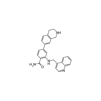 NC(=O)c1ccc(-c2ccc3c(c2)CNCC3)cc1NCc1ccnc2ccccc12